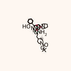 C[C@@H]1CN(C(=O)OC(C)(C)C)CCC1CCOc1cc(N2C3CCC2CN(c2cc(-c4ccccc4O)nnc2N)C3)ccn1